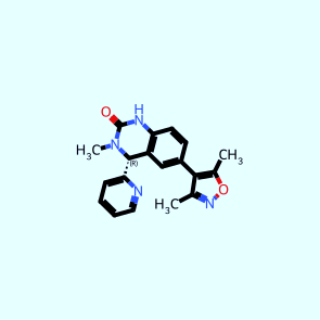 Cc1noc(C)c1-c1ccc2c(c1)[C@H](c1ccccn1)N(C)C(=O)N2